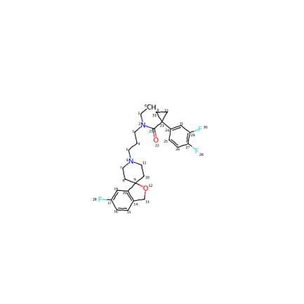 CCN(CCCN1CCC2(CC1)OCc1ccc(F)cc12)C(=O)C1(c2ccc(F)c(F)c2)CC1